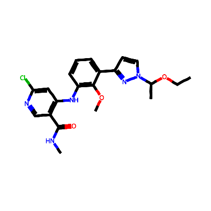 CCOC(C)n1ccc(-c2cccc(Nc3cc(Cl)ncc3C(=O)NC)c2OC)n1